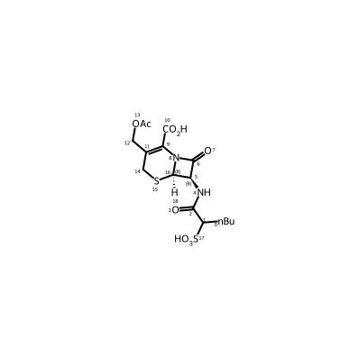 CCCCC(C(=O)N[C@@H]1C(=O)N2C(C(=O)O)=C(COC(C)=O)CS[C@H]12)S(=O)(=O)O